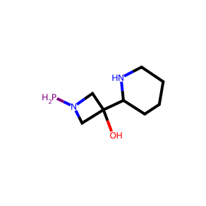 OC1(C2CCCCN2)CN(P)C1